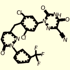 N#Cc1nn(-c2cc(Cl)c(Cc3ccc(=O)n(-c4cccc(C(F)(F)F)c4)n3)c(Cl)c2)c(=O)[nH]c1=O